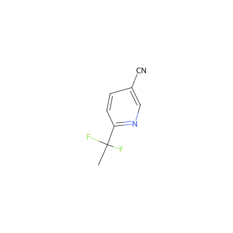 CC(F)(F)c1ccc(C#N)cn1